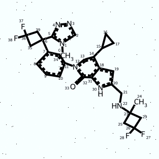 Cn1cnnc1C1(c2cccc(-n3cc(C4CC4)c4cc(CNC5(C)CC(F)(F)C5)[nH]c4c3=O)c2)CC(F)(F)C1